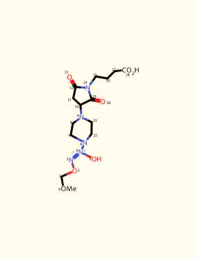 COCO/N=[N+](\O)N1CCN(C2CC(=O)N(CCCC(=O)O)C2=O)CC1